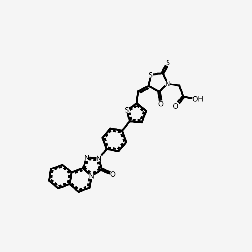 O=C(O)CN1C(=O)/C(=C\c2ccc(-c3ccc(-n4nc5c6ccccc6ccn5c4=O)cc3)s2)SC1=S